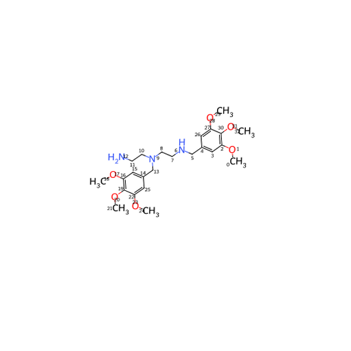 COc1cc(CNCCN(CCN)Cc2cc(OC)c(OC)c(OC)c2)cc(OC)c1OC